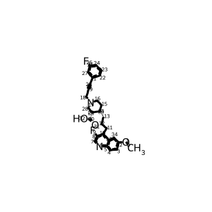 COc1ccc2ncc(F)c(CCC[C@H]3CCN(CC#Cc4cccc(F)c4)C[C@H]3C(=O)O)c2c1